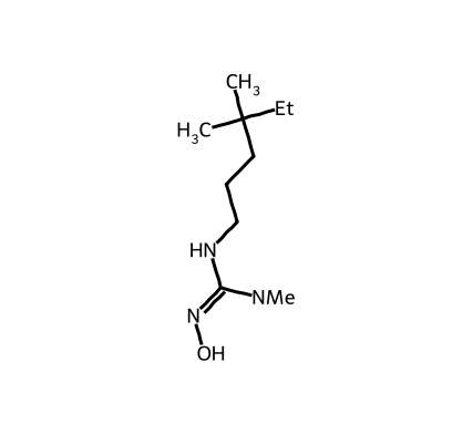 CCC(C)(C)CCCN/C(=N/O)NC